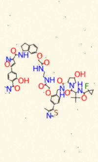 Cc1ncsc1-c1ccc(CNC(=O)[C@@H]2C[C@@H](O)CN2C(=O)C(NC(=O)C2(F)CC2)C(C)(C)C)c(OCC(=O)NCCNC(=O)COc2ccc3c(c2)[C@H](NC(=O)c2cc(-c4ccc(C(=O)N(C)C)c(O)c4)on2)CC3)c1